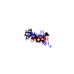 CC(C)C(O)CC(=O)c1ccc(N2[C@@H]3CC[C@H]2C[C@@H](NC(=O)c2ccc(C(N)=O)c(NCC4CC4)c2)C3)nc1